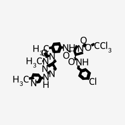 Cc1ccc(Nc2ncc3c(n2)N(C)C(=O)N(c2cc(NC(=O)[C@@H]4CN(C(=O)OCC(Cl)(Cl)Cl)C[C@H]4C(=O)NCc4ccc(Cl)cc4)ccc2C)C3)cn1